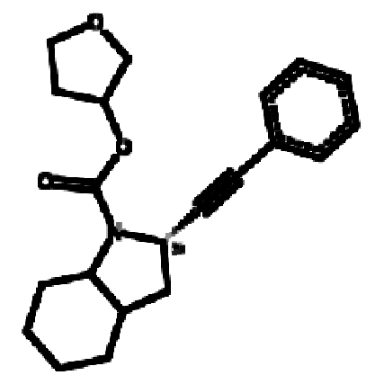 O=C(OC1CCOC1)N1C2CCCCC2C[C@H]1C#Cc1ccccc1